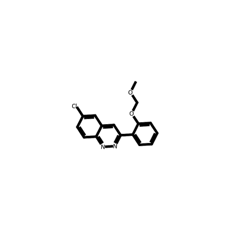 COCOc1ccccc1-c1cc2cc(Cl)ccc2nn1